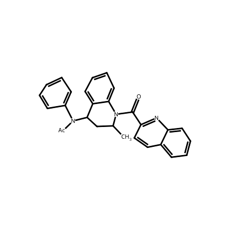 CC(=O)N(c1ccccc1)C1CC(C)N(C(=O)c2ccc3ccccc3n2)c2ccccc21